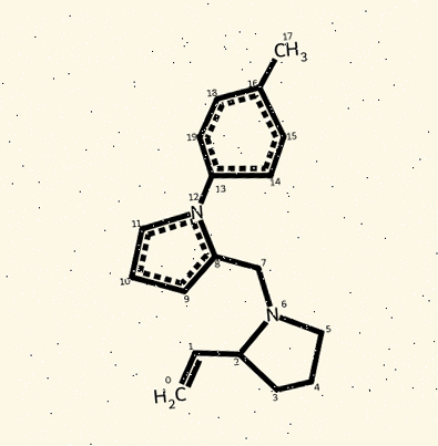 C=CC1CCCN1Cc1cccn1-c1ccc(C)cc1